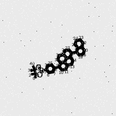 CC1(C)OB(c2ccc(-c3ccc4ccc5c(-c6cccc7ccccc67)ccc6ccc3c4c65)cc2)OC1(C)C